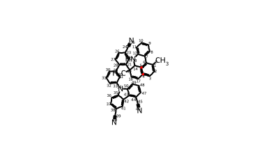 Cc1ccccc1-c1ccccc1NC1C=CC=CC1(C)c1cc(C#N)ccc1-c1cccc(-n2c3ccc(C#N)cc3c3c(C#N)cccc32)c1